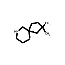 CC1(C)CCC2(CNCCO2)C1